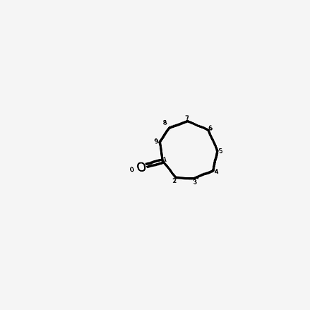 O=C1C[CH]CCCCCC1